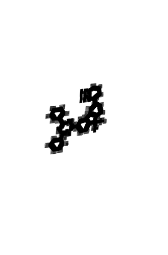 FC1(F)c2ccc(C3=CC=CNN3)cc2-c2cc(-c3nc(-c4ccccc4)nc(-c4ccccc4)n3)ccc21